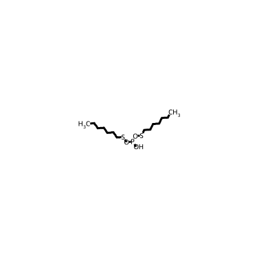 CCCCCCCSOP(O)OSCCCCCCC